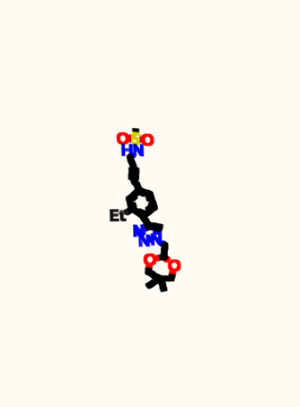 CCc1cc(C#CCNS(C)(=O)=O)ccc1-c1cn(CC2OCC(C)(C)CO2)nn1